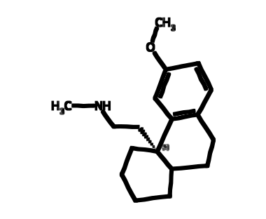 CNCC[C@@]12CCCCC1CCc1ccc(OC)cc12